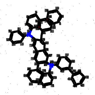 c1ccc(-c2cccc(N(c3ccccc3)c3cc4cc(-c5ccccc5)c(N(c5ccccc5)c5cccc(-c6ccccc6)c5)cc4cc3-c3ccccc3)c2)cc1